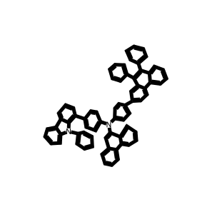 c1ccc(-c2c(-c3ccccc3)c3cc(-c4ccc(N(c5ccc(-c6cccc7c8ccccc8n(-c8ccccc8)c67)cc5)c5cc6ccccc6c6ccccc56)cc4)ccc3c3ccccc23)cc1